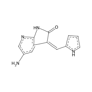 Nc1cnc2c(c1)C(=Cc1ccc[nH]1)C(=O)N2